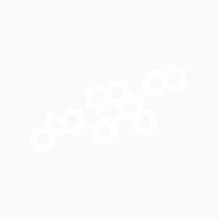 c1cc(-c2ccc3oc4ccccc4c3c2)cc(-c2c3ccccc3c(-c3ccc4ccccc4c3)c3ccc4ccccc4c23)c1